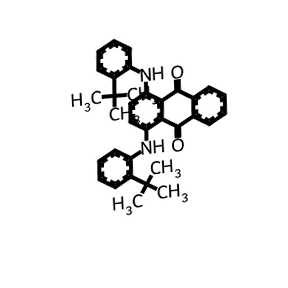 CC(C)(C)c1ccccc1Nc1ccc(Nc2ccccc2C(C)(C)C)c2c1C(=O)c1ccccc1C2=O